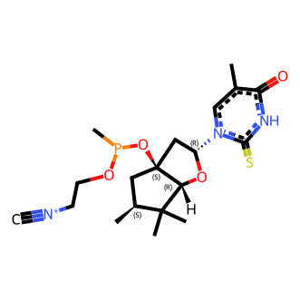 [C-]#[N+]CCOP(C)O[C@@]12C[C@H](n3cc(C)c(=O)[nH]c3=S)O[C@@H]1C(C)(C)[C@@H](C)C2